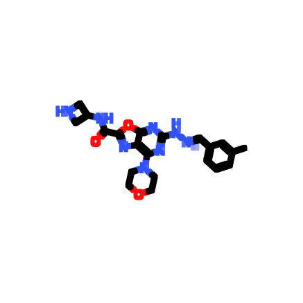 Cc1cccc(/C=N/Nc2nc(N3CCOCC3)c3nc(C(=O)NC4CNC4)oc3n2)c1